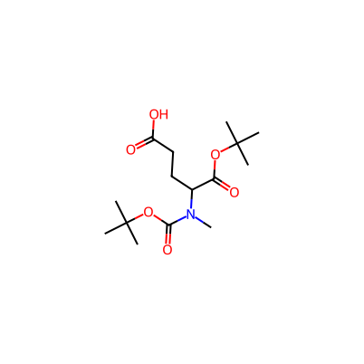 CN(C(=O)OC(C)(C)C)C(CCC(=O)O)C(=O)OC(C)(C)C